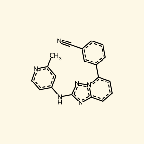 Cc1cc(Nc2nc3cccc(-c4cccc(C#N)c4)n3n2)ccn1